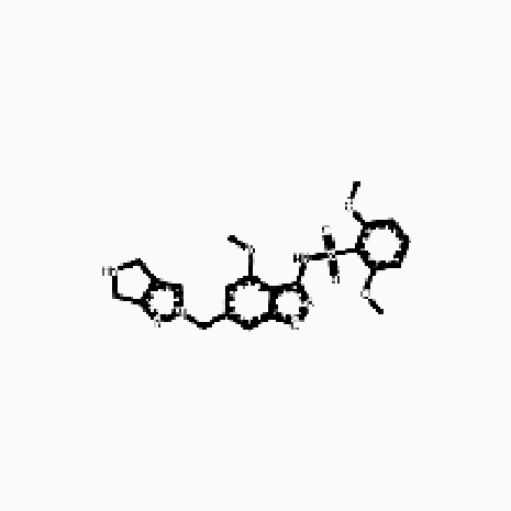 COc1cccc(OC)c1S(=O)(=O)Nc1noc2cc(Cn3cc4c(n3)CNC4)cc(OC)c12